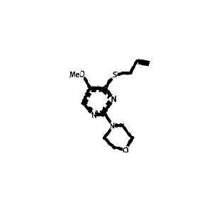 C=CCSc1nc(N2CCOCC2)ncc1OC